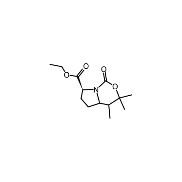 CCOC(=O)[C@@H]1CCC2C(C)C(C)(C)OC(=O)N21